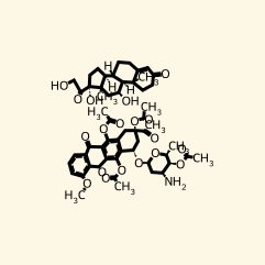 COc1cccc2c1C(=O)c1c(OC(C)=O)c3c(c(OC(C)=O)c1C2=O)C[C@@](OC(C)=O)(C(C)=O)C[C@@H]3O[C@@H]1C[C@H](N)[C@H](OC(C)=O)[C@H](C)O1.C[C@]12CCC(=O)C=C1CC[C@@H]1[C@@H]2[C@@H](O)C[C@@]2(C)[C@H]1CC[C@]2(O)C(=O)CO